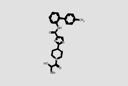 CCCCC(O)C(=O)N1CCC(c2nc(C(=O)Nc3ccccc3-c3ccc(C)cc3)cs2)CC1